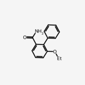 CCOc1cccc(C(N)=O)c1-c1ccccc1